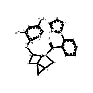 O=C(c1ccccc1-n1nccn1)N1CC2CC23CC(Oc2ncc(C(F)(F)F)cc2F)C13